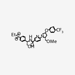 CCS(=O)(=O)c1ccc([C@H](CO)NC(=O)c2ccc(N3CC(Oc4ccc(C(F)(F)F)cc4)C[C@H]3COC)nc2)cc1